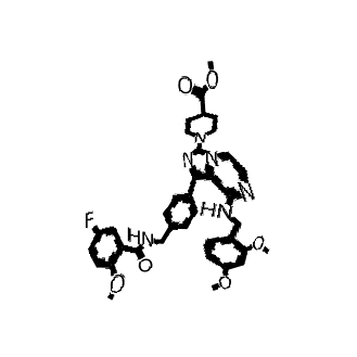 COC(=O)C1CCN(c2nc(-c3ccc(CNC(=O)c4cc(F)ccc4OC)cc3)c3c(NCc4ccc(OC)cc4OC)nccn23)CC1